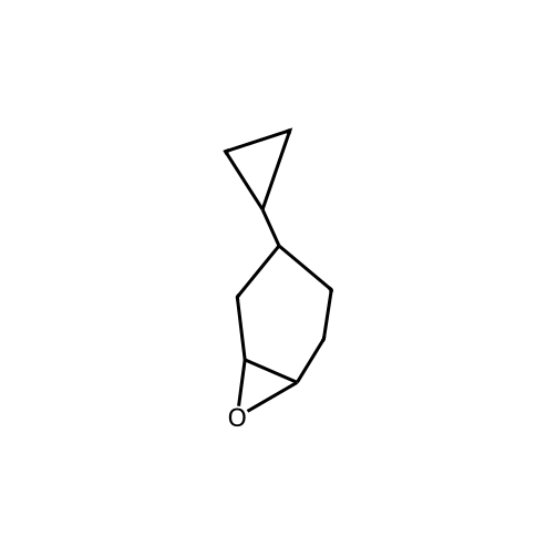 C1CC1C1CCC2OC2C1